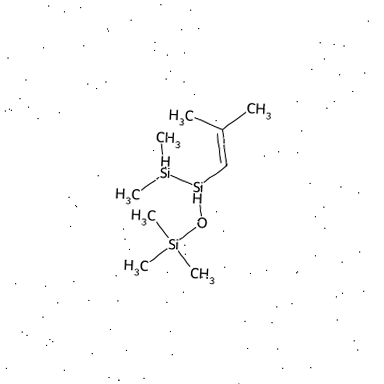 CC(C)=C[SiH](O[Si](C)(C)C)[SiH](C)C